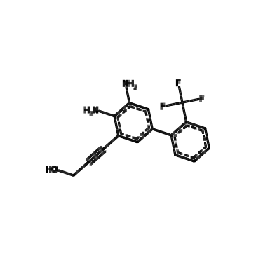 Nc1cc(-c2ccccc2C(F)(F)F)cc(C#CCO)c1N